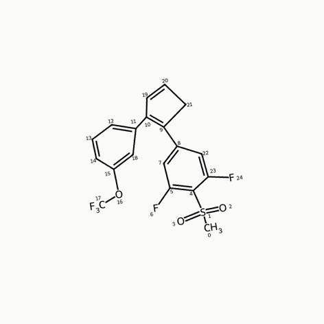 CS(=O)(=O)c1c(F)cc(C2=C(c3cccc(OC(F)(F)F)c3)C=CC2)cc1F